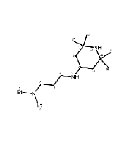 CCN(CC)CCCNC1CC(C)(C)NC(C)(C)C1